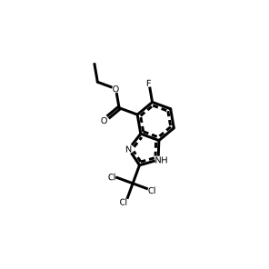 CCOC(=O)c1c(F)ccc2[nH]c(C(Cl)(Cl)Cl)nc12